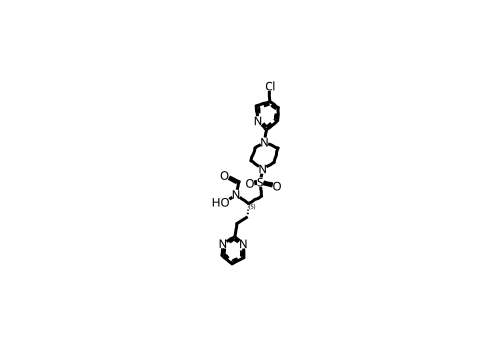 O=CN(O)[C@@H](CCc1ncccn1)CS(=O)(=O)N1CCN(c2ccc(Cl)cn2)CC1